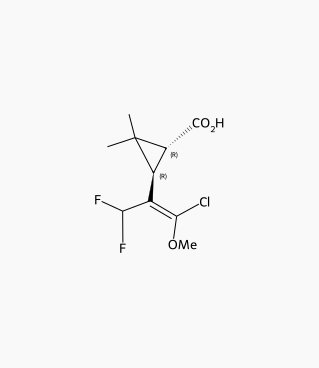 COC(Cl)=C(C(F)F)[C@@H]1[C@@H](C(=O)O)C1(C)C